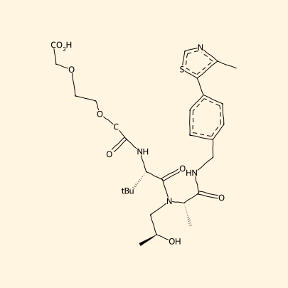 Cc1ncsc1-c1ccc(CNC(=O)[C@H](C)N(C[C@H](C)O)C(=O)[C@@H](NC(=O)COCCOCC(=O)O)C(C)(C)C)cc1